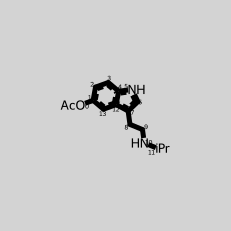 CC(=O)Oc1ccc2[nH]cc(CCNC(C)C)c2c1